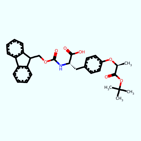 C[C@H](Oc1ccc(C[C@H](NC(=O)OCC2c3ccccc3-c3ccccc32)C(=O)O)cc1)C(=O)OC(C)(C)C